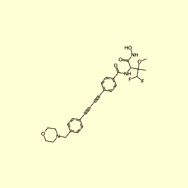 COC(C)(C(F)F)C(NC(=O)c1ccc(C#CC#Cc2ccc(CN3CCOCC3)cc2)cc1)C(=O)NO